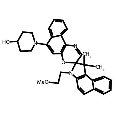 COCCN1c2ccc3ccccc3c2C(C)(C)C12C=Nc1c(cc(N3CCC(O)CC3)c3ccccc13)O2